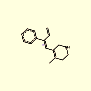 C=C/C(=C\C1=C(C)CCNC1)c1ccccc1